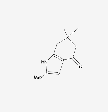 CSc1cc2c([nH]1)CC(C)(C)CC2=O